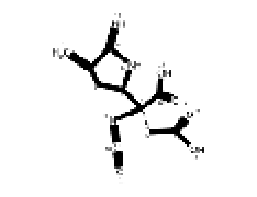 C=C1CC([C@](CC(=O)O)(N=C=O)C(=O)O)NC1=N